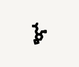 C=C(C)CCC1=C(C=O)CCC2(CCC2)C1